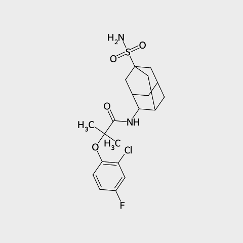 CC(C)(Oc1ccc(F)cc1Cl)C(=O)NC1C2CC3CC1CC(S(N)(=O)=O)(C3)C2